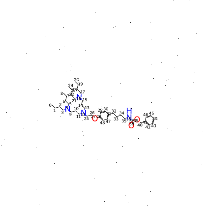 CCCCN(CCCC)CCCN(CCCN(CCCC)CCCC)CCOc1ccc(CCCCNC(=O)OCc2ccccc2)cc1